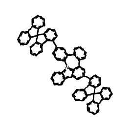 c1ccc2c(c1)-c1cc(-c3cccc4c3-c3ccccc3C43c4ccccc4-c4ccccc43)ccc1-n1c3ccccc3c3cc(-c4cccc5c4-c4ccccc4C54c5ccccc5-c5ccccc54)cc-2c31